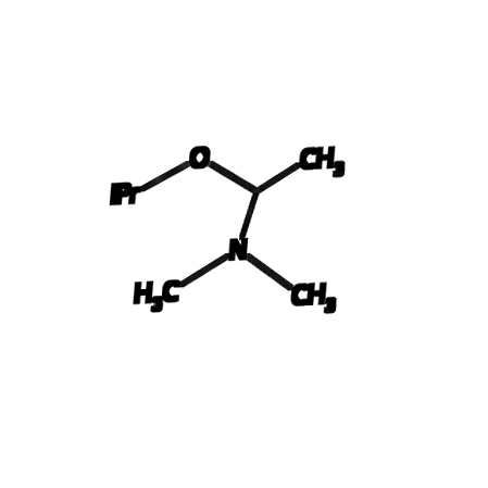 CC(C)OC(C)N(C)C